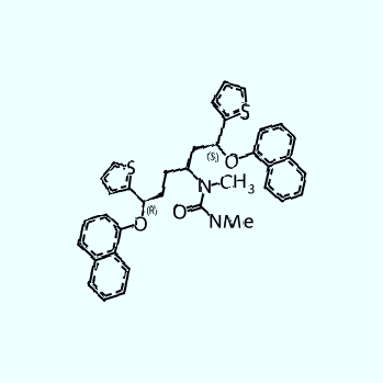 CNC(=O)N(C)C(CC[C@@H](Oc1cccc2ccccc12)c1cccs1)C[C@H](Oc1cccc2ccccc12)c1cccs1